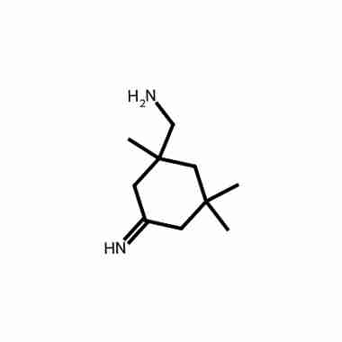 CC1(C)CC(=N)CC(C)(CN)C1